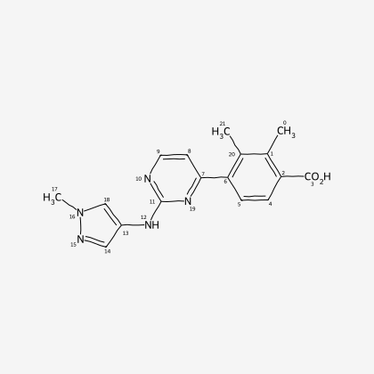 Cc1c(C(=O)O)ccc(-c2ccnc(Nc3cnn(C)c3)n2)c1C